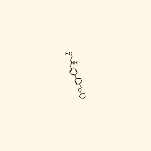 OCCNCc1ccc(-c2ccc(COC3CCCC3)cc2)cc1